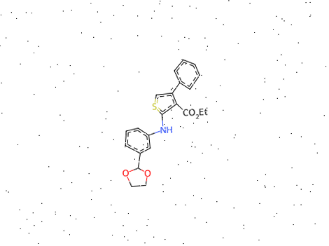 CCOC(=O)c1c(-c2ccccc2)csc1Nc1cccc(C2OCCO2)c1